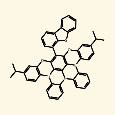 CC(C)c1ccc2c(c1)Oc1c3c4c5c(c1-c1cccc6c1sc1ccccc16)Oc1cc(C(C)C)ccc1B5c1ccccc1N4c1ccccc1B23